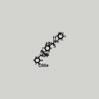 COc1cccc(CNS(=O)(=O)c2ccc(NC(=S)NCc3ccncc3)cc2)c1